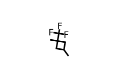 CC1CC(C)(C(F)(F)F)C1